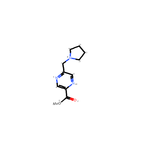 COC(=O)c1cnc(CN2CCCC2)cn1